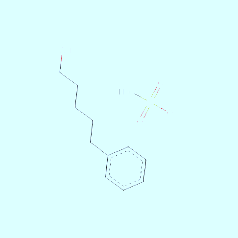 CS(=O)(=O)O.OCCCCCc1ccccc1